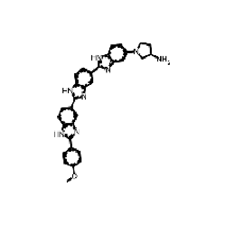 COc1ccc(-c2nc3cc(-c4nc5cc(-c6nc7cc(N8CCC(N)C8)ccc7[nH]6)ccc5[nH]4)ccc3[nH]2)cc1